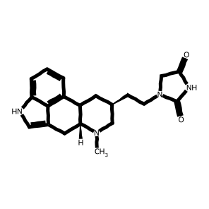 CN1C[C@H](CCN2CC(=O)NC2=O)CC2c3cccc4[nH]cc(c34)C[C@H]21